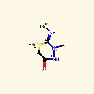 Br.CN1NC(=O)CS/C1=N\C(C)(C)C